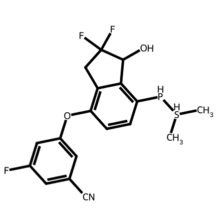 C[SH](C)Pc1ccc(Oc2cc(F)cc(C#N)c2)c2c1C(O)C(F)(F)C2